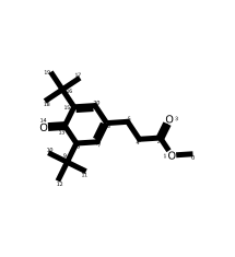 COC(=O)CCC1=CC(C(C)(C)C)C(=O)C(C(C)(C)C)=C1